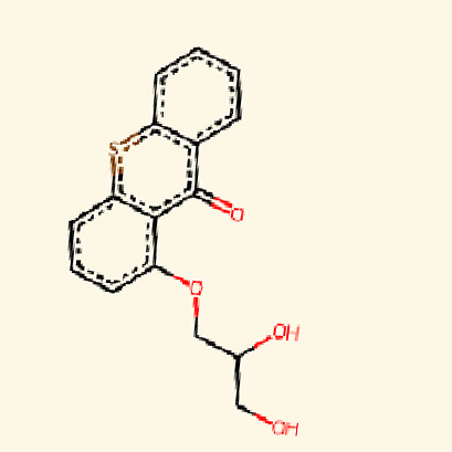 O=c1c2ccccc2sc2cccc(OCC(O)CO)c12